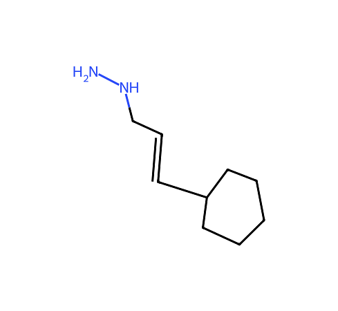 NNCC=CC1CCCCC1